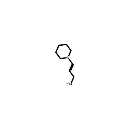 CC(C)(C)C/C=C/N1CCCCC1